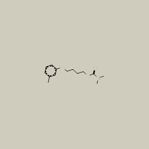 Cc1cccc(OCCCCSC(=O)N(C)C)c1